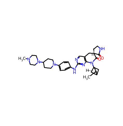 C[C@@H]1C2CC1(N1C(=O)[C@]3(CCNC3=O)Cc3cnc(Nc4ccc(N5CCC(N6CCN(C)CC6)CC5)cc4)nc31)C2